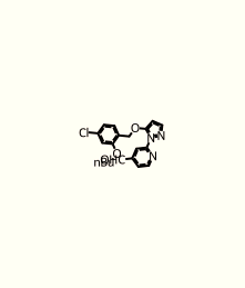 CCCCOc1cc(Cl)ccc1COc1ccnn1-c1cc(C=O)ccn1